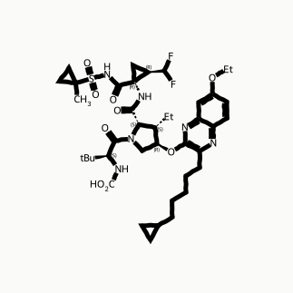 CCOc1ccc2nc(CCCCCC3CC3)c(O[C@H]3CN(C(=O)[C@@H](NC(=O)O)C(C)(C)C)[C@H](C(=O)N[C@]4(C(=O)NS(=O)(=O)C5(C)CC5)C[C@H]4C(F)F)[C@@H]3CC)nc2c1